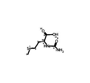 C[Se]CC[C@H](NC(N)=O)C(=O)O